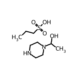 CC(O)N1CCNCC1.CCCS(=O)(=O)O